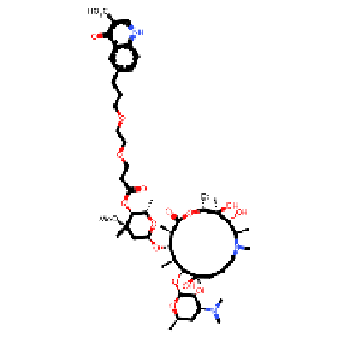 CC[C@H]1OC(=O)[C@H](C)[C@@H](O[C@H]2C[C@@](C)(OC)[C@@H](OC(=O)CCOCCOCCCc3ccc4[nH]cc(C(=O)O)c(=O)c4c3)[C@H](C)O2)[C@H](C)[C@@H](O[C@@H]2O[C@H](C)C[C@H](N(C)C)[C@H]2O)[C@](C)(O)CCCN(C)[C@H](C)[C@@H](O)[C@]1(C)O